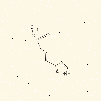 COC(=O)C/C=C/c1c[nH]cn1